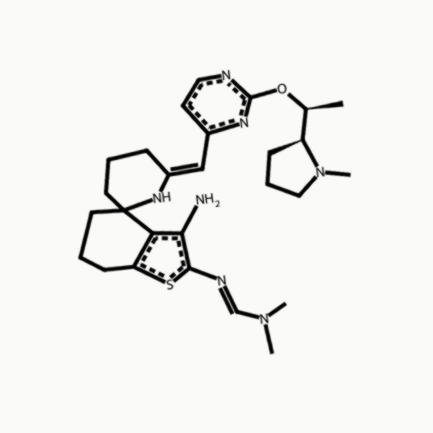 C[C@H](Oc1nccc(/C=C2\CCCC3(CCCc4sc(/N=C/N(C)C)c(N)c43)N2)n1)[C@@H]1CCCN1C